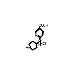 Cl.Cl.O=C(O)c1ccc(NC2CCNCC2)nc1